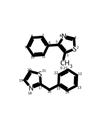 Cc1scnc1-c1ccccc1.c1ccc(Cc2nccs2)cc1